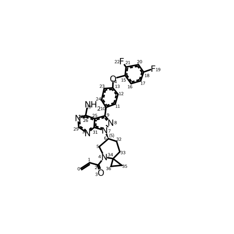 C=CC(=O)N1C[C@@H](n2nc(-c3ccc(Oc4ccc(F)cc4F)cc3)c3c(N)ncnc32)CCC12CC2